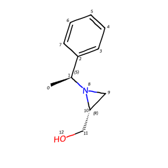 C[C@@H](c1ccccc1)N1C[C@@H]1CO